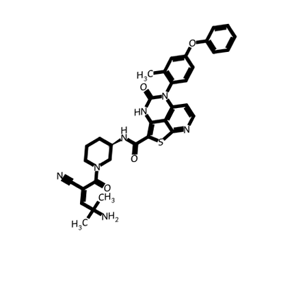 Cc1cc(Oc2ccccc2)ccc1N1C(=O)Nc2c(C(=O)N[C@@H]3CCCN(C(=O)/C(C#N)=C\C(C)(C)N)C3)sc3nccc1c23